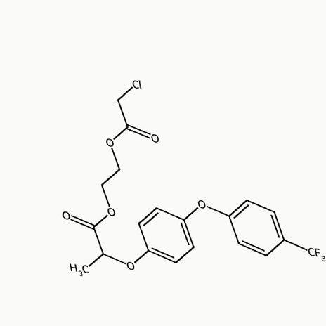 CC(Oc1ccc(Oc2ccc(C(F)(F)F)cc2)cc1)C(=O)OCCOC(=O)CCl